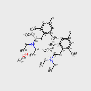 Cc1cc(C(C)(C)C)c(C[C@@H](C(=O)[O-])N(CC(C)C)CC(C)C)c(C(C)(C)C)c1.Cc1cc(C(C)(C)C)c(C[C@@H](C(=O)[O-])N(CC(C)C)CC(C)C)c(C(C)(C)C)c1.[OH][Al+2]